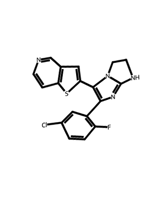 Fc1ccc(Cl)cc1-c1nc2n(c1-c1cc3cnccc3s1)CCN2